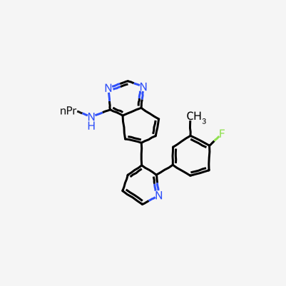 CCCNc1ncnc2ccc(-c3cccnc3-c3ccc(F)c(C)c3)cc12